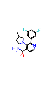 CC1CCN(c2c(C(N)=O)ccnc2-c2cc(F)cc(F)c2)C1